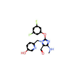 CNc1nc(Oc2cc(F)cc(F)c2)n(Cc2ccc(O)cn2)c1C=O